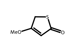 COC1=CC(=O)SC1